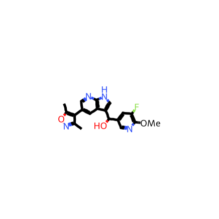 COc1ncc(C(O)c2c[nH]c3ncc(-c4c(C)noc4C)cc23)cc1F